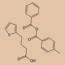 Cc1ccc(C(=O)OC(=O)c2ccccc2)cc1.O=C(O)CCCc1cccs1